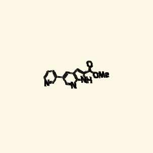 COC(=O)c1cc2cc(-c3cccnc3)cnc2[nH]1